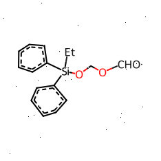 CC[Si](OCO[C]=O)(c1ccccc1)c1ccccc1